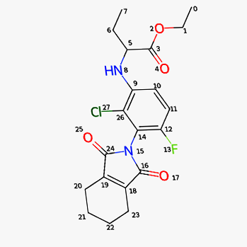 CCOC(=O)C(CC)Nc1ccc(F)c(N2C(=O)C3=C(CCCC3)C2=O)c1Cl